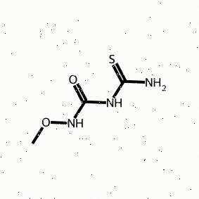 CONC(=O)NC(N)=S